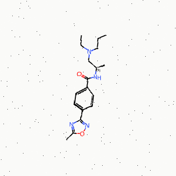 CCCN(CC)C[C@@H](C)NC(=O)c1ccc(-c2noc(C)n2)cc1